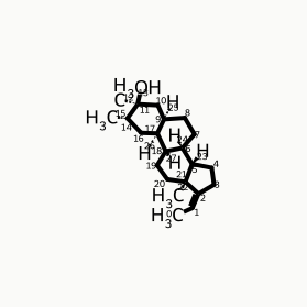 C/C=C1/CC[C@H]2[C@@H]3CC[C@@H]4C[C@](C)(O)[C@@H](C)C[C@@H]4[C@H]3CC[C@]12C